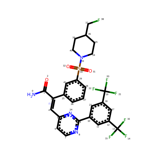 NC(=O)/C(=C/c1ccnc(-c2cc(C(F)(F)F)cc(C(F)(F)F)c2)n1)c1cccc(S(=O)(=O)N2CCC(CF)CC2)c1